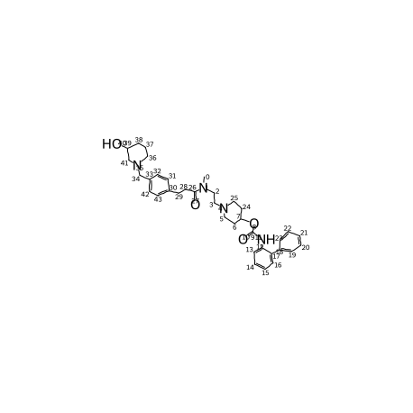 CN(CCN1CCC(OC(=O)Nc2ccccc2-c2ccccc2)CC1)C(=O)CCc1ccc(CN2CCCC(O)C2)cc1